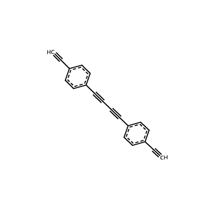 C#Cc1ccc(C#CC#Cc2ccc(C#C)cc2)cc1